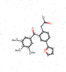 CCC(=O)Cc1ccc(-c2ccco2)cc1C(=O)c1cc(OC)c(OC)c(OC)c1